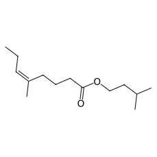 CCC=C(C)CCCC(=O)OCCC(C)C